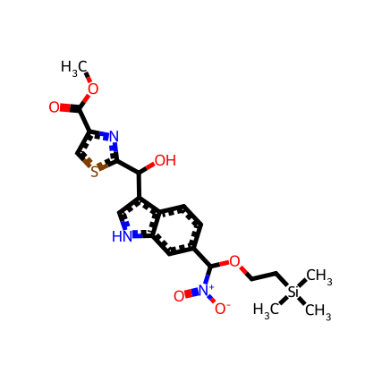 COC(=O)c1csc(C(O)c2c[nH]c3cc(C(OCC[Si](C)(C)C)[N+](=O)[O-])ccc23)n1